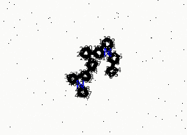 c1ccc(-c2cccc(-n3c4ccccc4c4cc(-c5ccccc5-c5cccc(-c6ccc7c(c6)c6ccccc6n7-c6ccccc6)c5)ccc43)c2)cc1